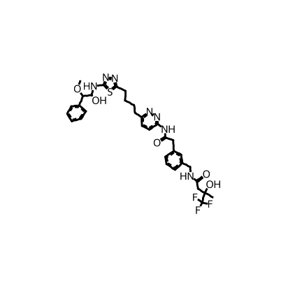 COC(c1ccccc1)C(O)Nc1nnc(CCCCc2ccc(NC(=O)Cc3cccc(CNC(=O)CC(C)(O)C(F)(F)F)c3)nn2)s1